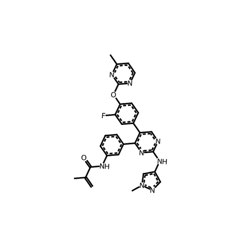 C=C(C)C(=O)Nc1cccc(-c2nc(Nc3cnn(C)c3)ncc2-c2ccc(Oc3nccc(C)n3)c(F)c2)c1